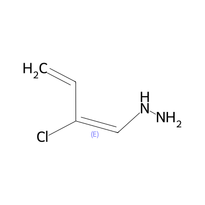 C=C/C(Cl)=C\NN